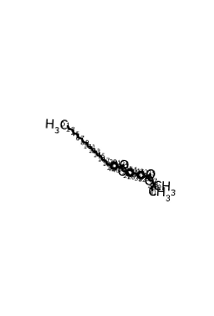 CCCCCCCCCCCCCCCCCCCc1ccc(C(=O)Oc2ccc(-c3ccc(C(=O)OCC(C)CC)cc3)cc2)cc1